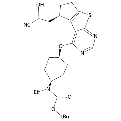 CCN(C(=O)OC(C)(C)C)[C@H]1CC[C@@H](Oc2ncnc3sc4c(c23)[C@@H](CC(O)C#N)CC4)CC1